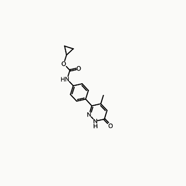 Cc1cc(=O)[nH]nc1-c1ccc(NC(=O)OC2CC2)cc1